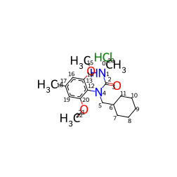 CNC(=O)N(CC1CCCCC1)c1c(OC)cc(C)cc1OC.Cl